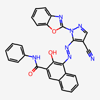 N#Cc1cnn(-c2nc3ccccc3o2)c1/N=N/c1c(O)c(C(=O)Nc2ccccc2)cc2ccccc12